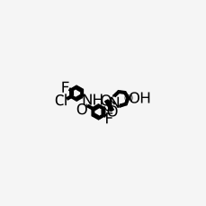 O=C(Nc1ccc(F)c(Cl)c1)c1ccc(F)c(S(=O)(=O)N2CCC[C@@H](O)CC2)c1